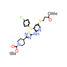 COC(=O)CCSc1cnc(Nc2nc(C3CCN(C(=O)OC(C)(C)C)CC3)ns2)c(Sc2ccc(F)cc2)c1